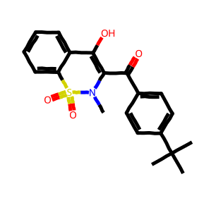 CN1C(C(=O)c2ccc(C(C)(C)C)cc2)=C(O)c2ccccc2S1(=O)=O